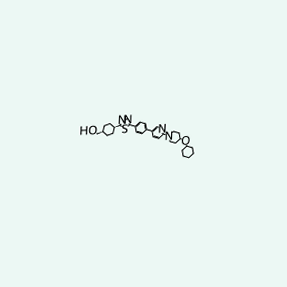 OC[C@H]1CC[C@@H](c2nnc(-c3ccc(-c4ccc(N5CCC(OC6CCCCC6)CC5)nc4)cc3)s2)CC1